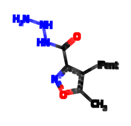 CCCC(C)c1c(C(=O)NNN)noc1C